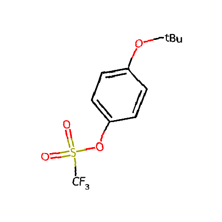 CC(C)(C)Oc1ccc(OS(=O)(=O)C(F)(F)F)cc1